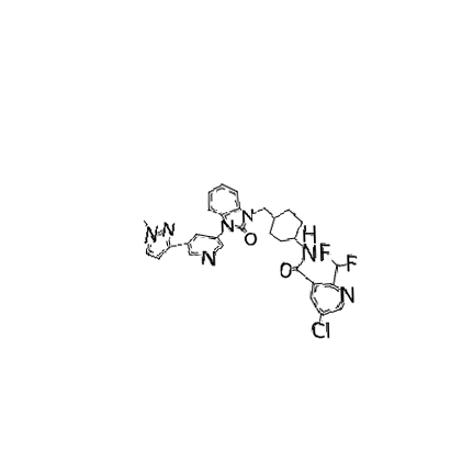 Cn1ccc(-c2cncc(-n3c(=O)n(CC4CCC(NC(=O)c5cc(Cl)cnc5C(F)F)CC4)c4ccccc43)c2)n1